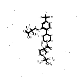 CC(C)(COc1cc(C(F)(F)F)ccc1C1CCN(C(=O)[C@@]2(F)CCN(C(C)(C)C)C2)CC1)C(=O)O